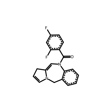 O=C(c1ccc(F)cc1F)N1C=C2CC=CN2Cc2ccccc21